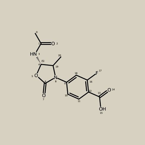 CC(=O)N[C@H]1OC(=O)N(c2ccc(C(=O)O)c(F)c2)C1C